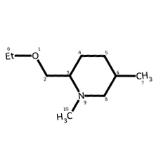 CCOCC1CCC(C)CN1C